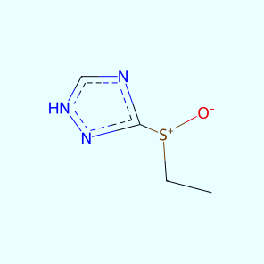 CC[S+]([O-])c1nc[nH]n1